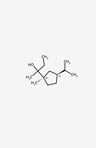 CCC(C)(O)[C@]1(C)CC[C@H](C(C)C)C1